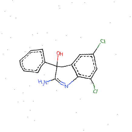 NC1=Nc2c(Cl)cc(Cl)cc2C1(O)c1ccccc1